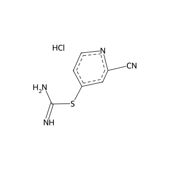 Cl.N#Cc1cc(SC(=N)N)ccn1